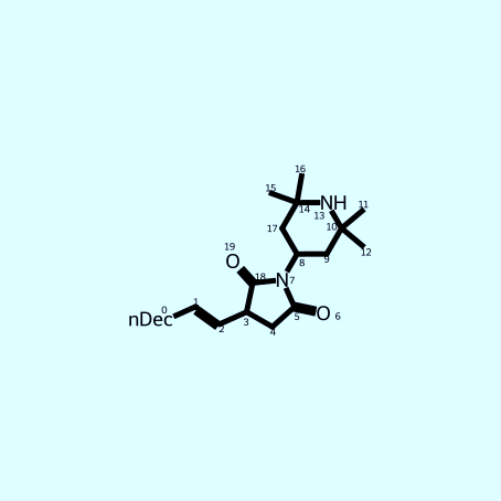 CCCCCCCCCCC=CC1CC(=O)N(C2CC(C)(C)NC(C)(C)C2)C1=O